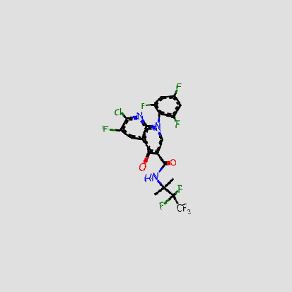 CC(C)(NC(=O)c1cn(-c2c(F)cc(F)cc2F)c2nc(Cl)c(F)cc2c1=O)C(F)(F)C(F)(F)F